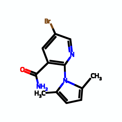 Cc1ccc(C)n1-c1ncc(Br)cc1C(N)=O